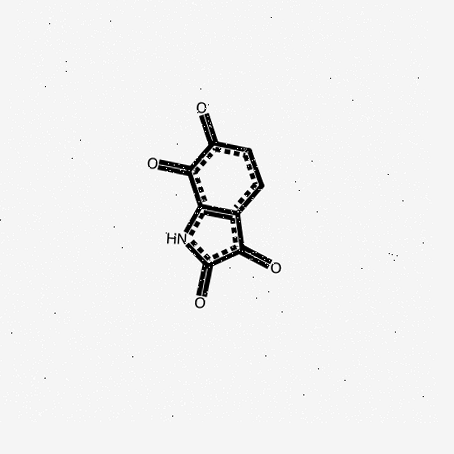 O=c1ccc2c(=O)c(=O)[nH]c=2c1=O